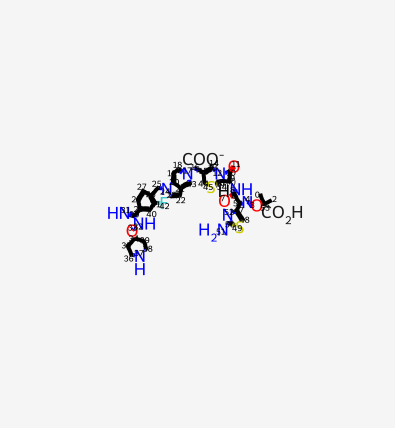 CC(C)(ON=C(C(=O)N[C@@H]1C(=O)N2C(C(=O)[O-])=C(C[n+]3ccc4c(ccn4Cc4ccc(C(=N)NOC5CCNCC5)cc4F)c3)CS[C@H]12)c1csc(N)n1)C(=O)O